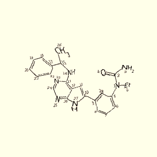 CCN(C(N)=O)c1cccc(-c2cc3c(NC(C)c4ccccc4)ncnc3[nH]2)c1